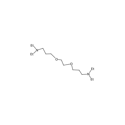 CCN(CC)CCCOCCOCCCN(CC)CC